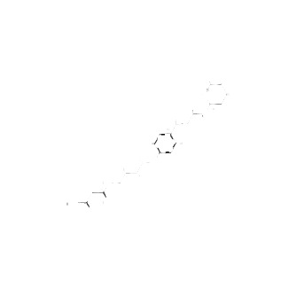 CCCC(=O)CC(=O)OCCCCSc1ccc(CCCOC2CCCCO2)cc1